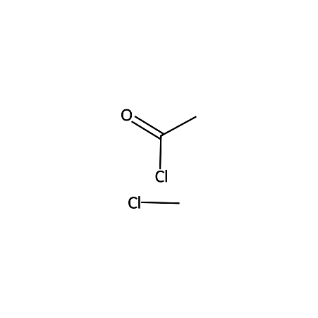 CC(=O)Cl.CCl